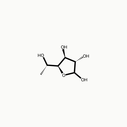 C[C@H](O)[C@@H]1OC(O)[C@@H](O)[C@@H]1O